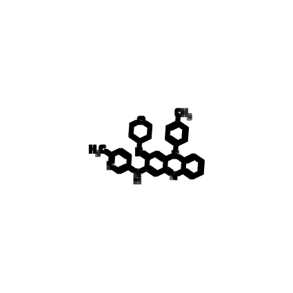 Cc1ccc(-n2c3cc(=NC4CCOCC4)c(Nc4ccc(C)nc4)cc-3nc3ccccc32)cc1